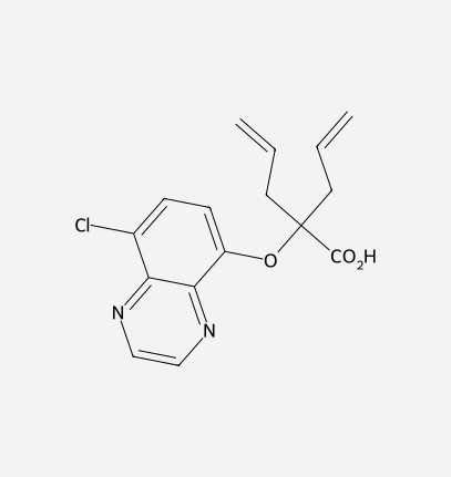 C=CCC(CC=C)(Oc1ccc(Cl)c2nccnc12)C(=O)O